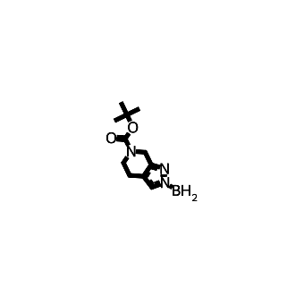 Bn1cc2c(n1)CN(C(=O)OC(C)(C)C)CC2